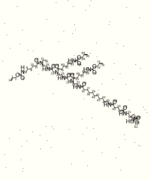 C=CCOC(=O)NCCCCCC(=O)N(CC)CCNC(=O)CN(CCNC(=O)CN(CCNC(=O)CCCCCCCCCCNC(=O)CCCC(=O)NCCOP(=O)(O)OC)C(=O)CCCCCNC(=O)OCC=C)C(=O)CCCCCNC(=O)OCC=C